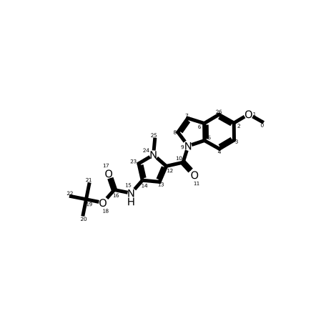 COc1ccc2c(ccn2C(=O)c2cc(NC(=O)OC(C)(C)C)cn2C)c1